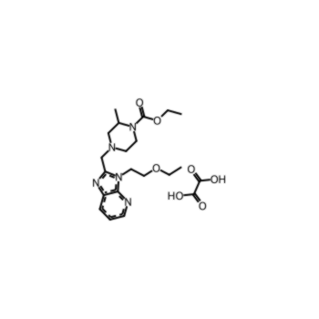 CCOCCn1c(CN2CCN(C(=O)OCC)C(C)C2)nc2cccnc21.O=C(O)C(=O)O